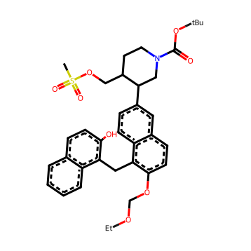 CCOCOc1ccc2cc(C3CN(C(=O)OC(C)(C)C)CCC3COS(C)(=O)=O)ccc2c1Cc1c(O)ccc2ccccc12